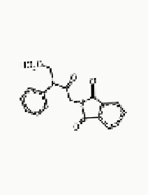 O=C(O)CN(C(=O)CN1C(=O)c2ccccc2C1=O)c1ccccc1